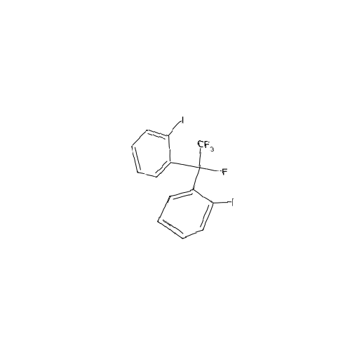 FC(F)(F)C(F)(c1ccccc1I)c1ccccc1I